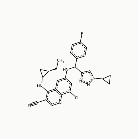 CC[C@@H]1C[C@H]1Nc1c(C#N)cnc2c(Cl)cc(NC(c3ccc(F)cc3)c3cn(C4CC4)nn3)cc12